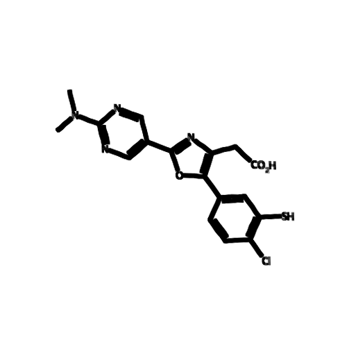 CN(C)c1ncc(-c2nc(CC(=O)O)c(-c3ccc(Cl)c(S)c3)o2)cn1